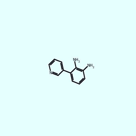 Nc1cccc(-c2cccnc2)c1N